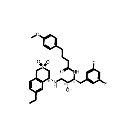 CCc1ccc2c(c1)[C@@H](NC[C@@H](O)[C@H](Cc1cc(F)cc(F)c1)NC(=O)CCCc1ccc(OC)cc1)CS(=O)(=O)C2